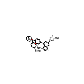 CSc1ccc(CN2C3CC2CN(c2ccc(-c4cc(N5CC(C)(O)C5)cn5ncc(C#N)c45)cn2)C3)cn1